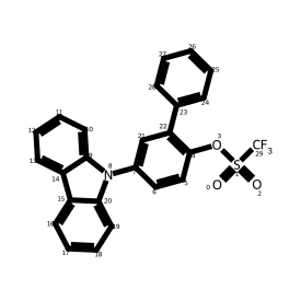 O=S(=O)(Oc1ccc(-n2c3ccccc3c3ccccc32)cc1-c1ccccc1)C(F)(F)F